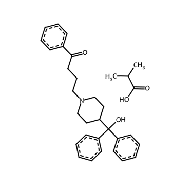 CC(C)C(=O)O.O=C(CCCN1CCC(C(O)(c2ccccc2)c2ccccc2)CC1)c1ccccc1